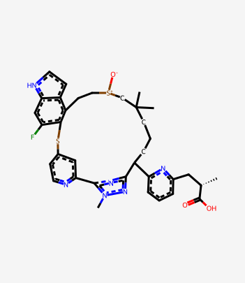 C[C@@H](Cc1cccc(C2CCCC(C)(C)C[S+]([O-])CCc3c(c(F)cc4[nH]ccc34)Sc3ccnc(c3)-c3nc2nn3C)n1)C(=O)O